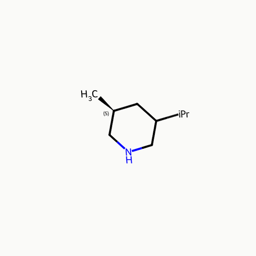 CC(C)C1CNC[C@@H](C)C1